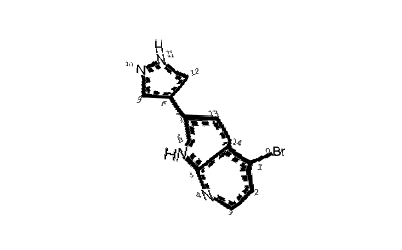 Brc1ccnc2[nH]c(-c3cn[nH]c3)cc12